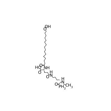 CCN[C@@H](CCCCNC(=O)CC[C@H](NC(=O)CCCCCCCCCCCCCCCOO)C(=O)O)C(=O)P